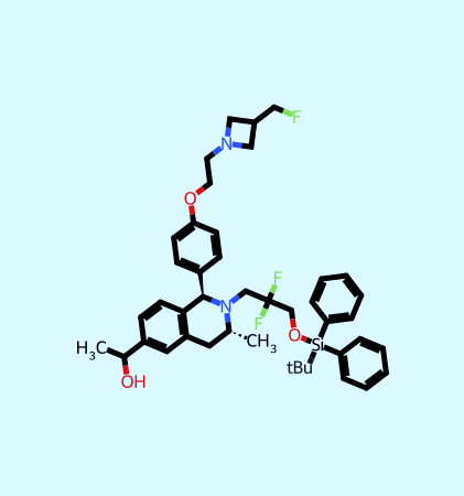 CC(O)c1ccc2c(c1)C[C@@H](C)N(CC(F)(F)CO[Si](c1ccccc1)(c1ccccc1)C(C)(C)C)[C@@H]2c1ccc(OCCN2CC(CF)C2)cc1